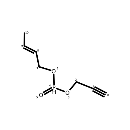 C#CCO[PH](=O)OCC=CC